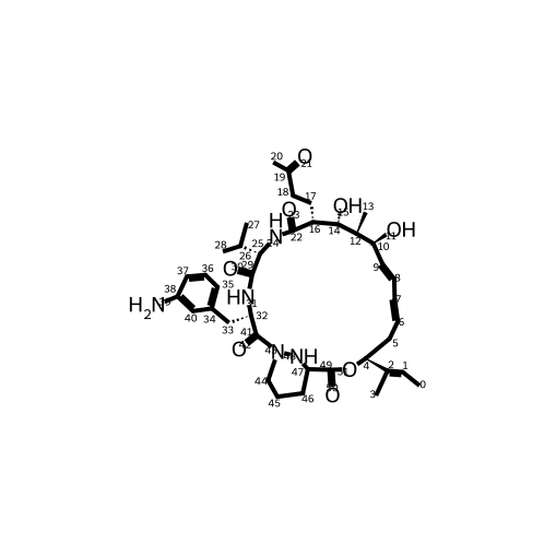 C/C=C(\C)[C@@H]1C/C=C/C=C/[C@H](O)[C@H](C)[C@@H](O)[C@@H](CCC(C)=O)C(=O)N[C@@H](C(C)C)C(=O)N[C@@H](Cc2cccc(N)c2)C(=O)N2CCCC(N2)C(=O)O1